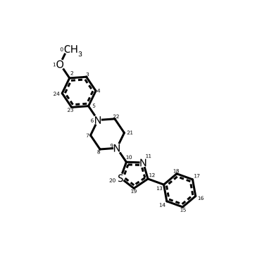 COc1ccc(N2CCN(c3nc(-c4ccccc4)cs3)CC2)cc1